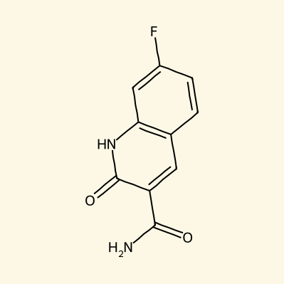 NC(=O)c1cc2ccc(F)cc2[nH]c1=O